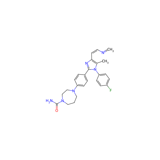 C=N/C=C\c1nc(-c2ccc(N3CCCN(C(N)=O)CC3)cc2)n(-c2ccc(F)cc2)c1C